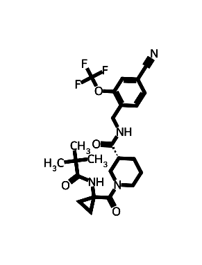 CC(C)(C)C(=O)NC1(C(=O)N2CCC[C@@H](C(=O)NCc3ccc(C#N)cc3OC(F)(F)F)C2)CC1